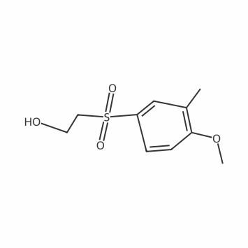 COc1ccc(S(=O)(=O)CCO)cc1C